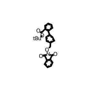 CC(C)(C)OC(=O)c1ccccc1-c1ccc(CON2C(=O)c3ccccc3C2=O)cc1